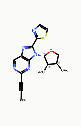 CCCCC#Cc1ncc2nc(-c3nccs3)n([C@@H]3OC[C@@H](OC(C)=O)[C@H]3OC(C)=O)c2n1